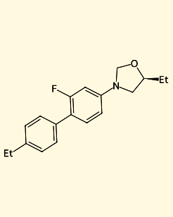 CCc1ccc(-c2ccc(N3CO[C@@H](CC)C3)cc2F)cc1